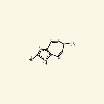 CC1C=Cc2nc(S)[nH]c2C=C1